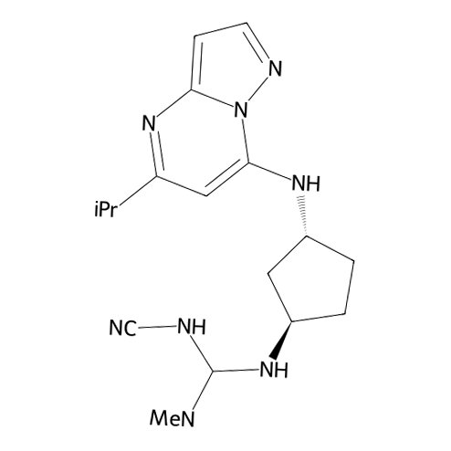 CNC(NC#N)N[C@@H]1CC[C@@H](Nc2cc(C(C)C)nc3ccnn23)C1